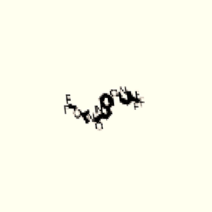 O=C(c1ccc2cc(Oc3ccc(C(F)(F)F)cn3)ccc2n1)N1CC(OCC(F)F)C1